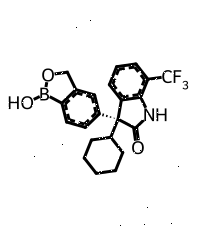 O=C1Nc2c(C(F)(F)F)cccc2[C@]1(c1ccc2c(c1)COB2O)C1CCCCC1